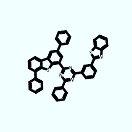 c1ccc(-c2cc(-c3nc(-c4ccccc4)nc(-c4cccc(-c5nc6ccccc6s5)c4)n3)c3sc4c(-c5ccccc5)cccc4c3c2)cc1